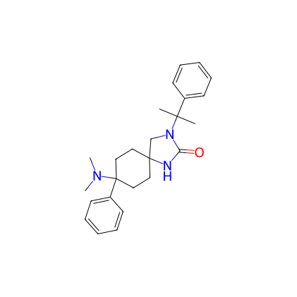 CN(C)C1(c2ccccc2)CCC2(CC1)CN(C(C)(C)c1ccccc1)C(=O)N2